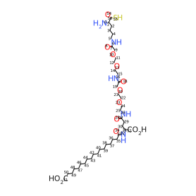 NC(CCCCNC(=O)COCCOCCNC(=O)COCCOCCNC(=O)CCC(NC(=O)CCCCCCCCCCCCCCCCC(=O)O)C(=O)O)C(=O)S